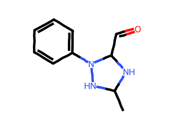 CC1NC(C=O)N(c2ccccc2)N1